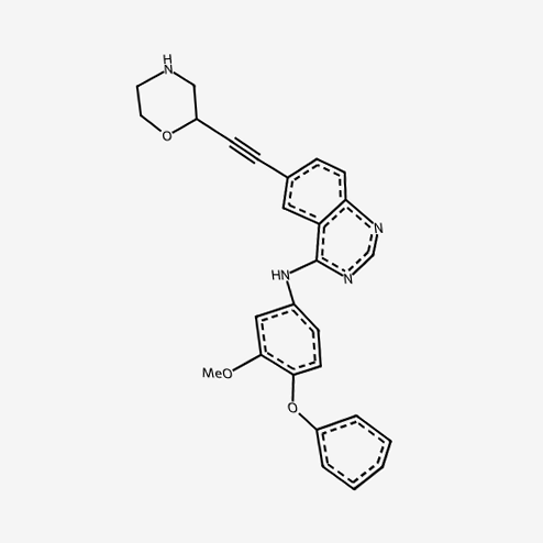 COc1cc(Nc2ncnc3ccc(C#CC4CNCCO4)cc23)ccc1Oc1ccccc1